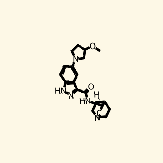 COC1CCN(c2ccc3[nH]nc(C(=O)N[C@@H]4CN5CCC4CC5)c3c2)C1